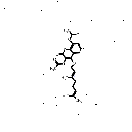 CC(=O)Oc1c(OC/C=C(\C)CCC=C(C)C)c2cccc(OC(C)=O)c2oc1=O